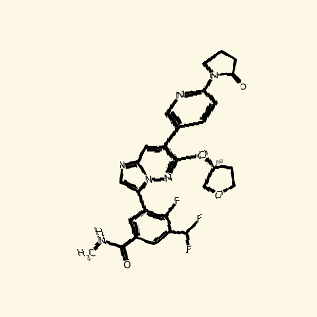 CNC(=O)c1cc(-c2cnc3cc(-c4ccc(N5CCCC5=O)nc4)c(O[C@H]4CCOC4)nn23)c(F)c(C(F)F)c1